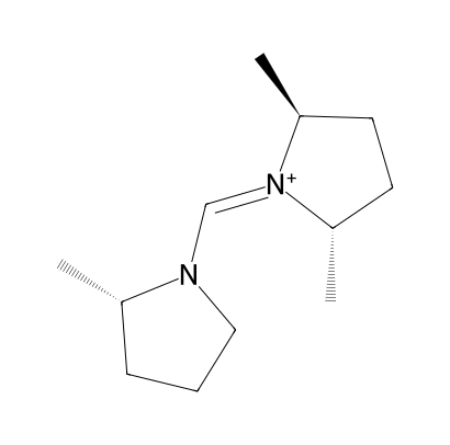 C[C@H]1CCCN1C=[N+]1[C@@H](C)CC[C@@H]1C